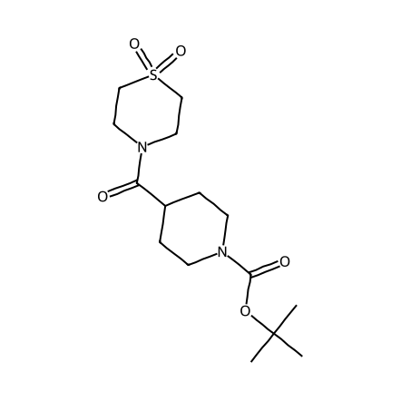 CC(C)(C)OC(=O)N1CCC(C(=O)N2CCS(=O)(=O)CC2)CC1